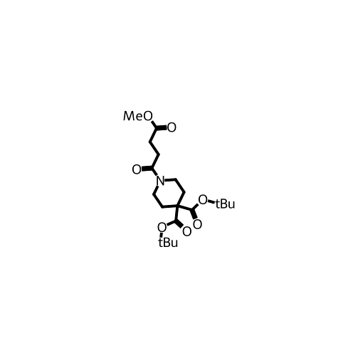 COC(=O)CCC(=O)N1CCC(C(=O)OC(C)(C)C)(C(=O)OC(C)(C)C)CC1